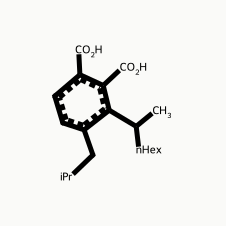 CCCCCCC(C)c1c(CC(C)C)ccc(C(=O)O)c1C(=O)O